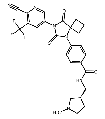 CN1CC[C@H](CNC(=O)c2ccc(N3C(=S)N(c4cnc(C#N)c(C(F)(F)F)c4)C(=O)C34CCC4)cc2)C1